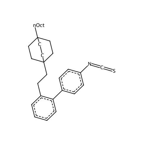 CCCCCCCCC12CCC(CCc3ccccc3-c3ccc(N=C=S)cc3)(CC1)CC2